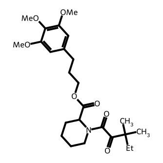 CCC(C)(C)C(=O)C(=O)N1CCCCC1C(=O)OCCCc1cc(OC)c(OC)c(OC)c1